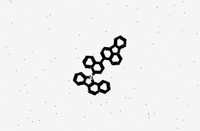 c1ccc2c(c1)-c1cccc3c(-c4ccc(-n5c6ccccc6c6ccc7ccccc7c65)c5ccccc45)ccc-2c13